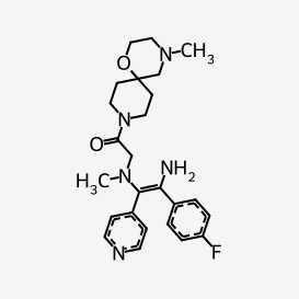 CN1CCOC2(CCN(C(=O)CN(C)/C(=C(\N)c3ccc(F)cc3)c3ccncc3)CC2)C1